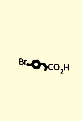 CC(=Cc1ccc(CBr)cc1)C(=O)O